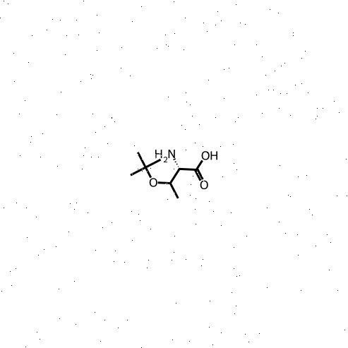 CC(OC(C)(C)C)[C@H](N)C(=O)O